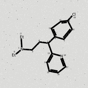 CCN(CC)CCC(c1ccc(Cl)cc1)c1ccccn1